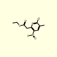 CCOC(=O)Cc1nc(Cl)c(I)cc1[N+](=O)[O-]